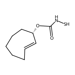 O=C(NS)O[C@@H]1/C=C/CCCCC1